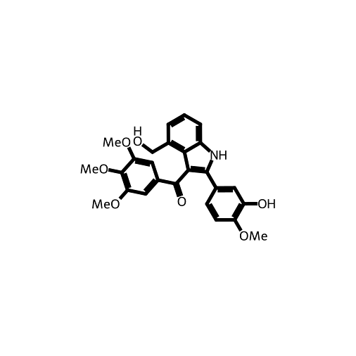 COc1ccc(-c2[nH]c3cccc(CO)c3c2C(=O)c2cc(OC)c(OC)c(OC)c2)cc1O